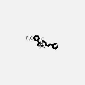 O=c1cc(/C=C/c2cccnc2)nc2scc(-c3cccc(C(F)(F)F)c3)n12